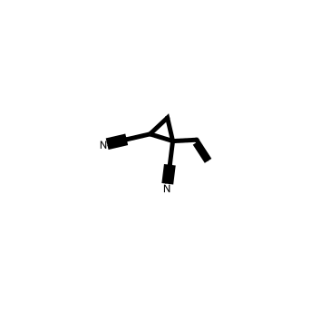 C=CC1(C#N)CC1C#N